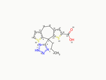 CCCC1(c2nn[nH]n2)c2sccc2CCc2cc(C(=O)O)sc21